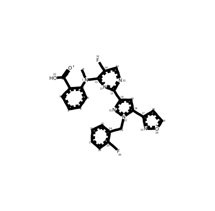 CN(c1ccccc1C(=O)O)c1nc(-c2cc(-c3ccon3)n(Cc3ccccc3F)n2)ncc1F